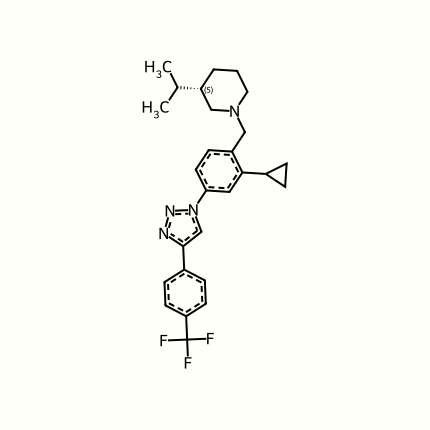 CC(C)[C@@H]1CCCN(Cc2ccc(-n3cc(-c4ccc(C(F)(F)F)cc4)nn3)cc2C2CC2)C1